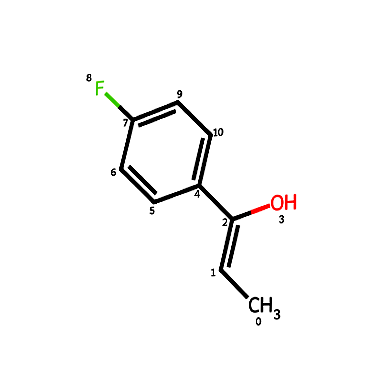 CC=C(O)c1ccc(F)cc1